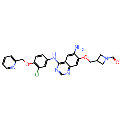 Nc1cc2c(Nc3ccc(OCc4ccccn4)c(Cl)c3)ncnc2cc1OCC1CN([C]=O)C1